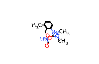 Cc1cccc(-n2c(=O)n(C)n2C)c1CONC=O